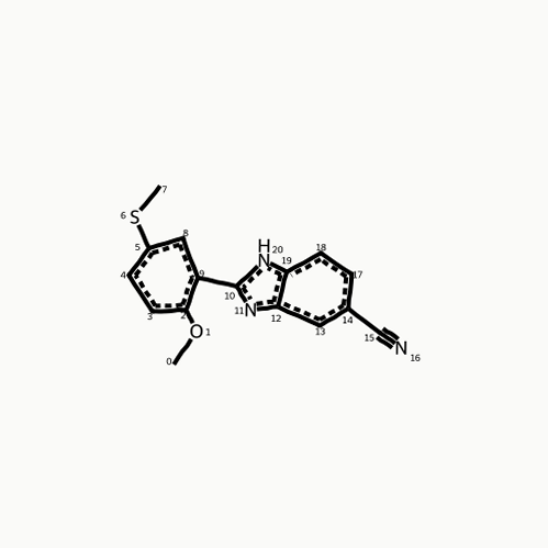 COc1ccc(SC)cc1-c1nc2cc(C#N)ccc2[nH]1